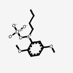 CCCC[S+](O[Cl+3]([O-])([O-])[O-])c1cc(OC)ccc1OC